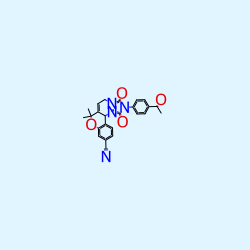 CC(=O)c1ccc(-n2c(=O)n3n(c2=O)C2C(=CC3)C(C)(C)Oc3cc(C#N)ccc32)cc1